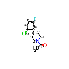 BC(=O)N1CCC(c2cc(F)ccc2Cl)CC1